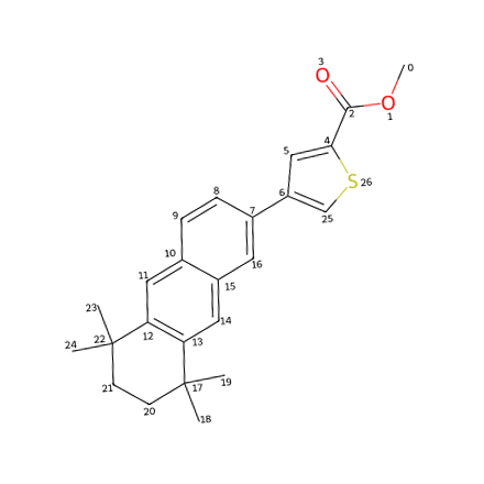 COC(=O)c1cc(-c2ccc3cc4c(cc3c2)C(C)(C)CCC4(C)C)cs1